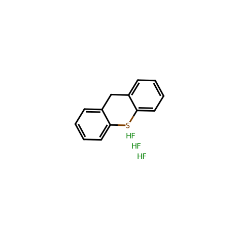 F.F.F.c1ccc2c(c1)Cc1ccccc1S2